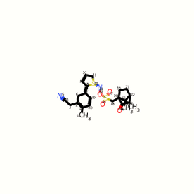 CC1=C(CC#N)CC(=C2C=CCS2=NOS(=O)(=O)CC23CCC(CC2=O)C3(C)C)C=C1